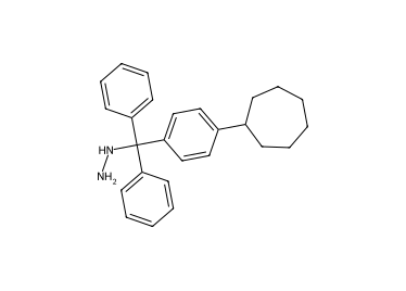 NNC(c1ccccc1)(c1ccccc1)c1ccc(C2CCCCCC2)cc1